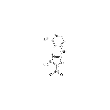 O=[N+]([O-])c1sc(Nc2cccc(Br)c2)nc1Cl